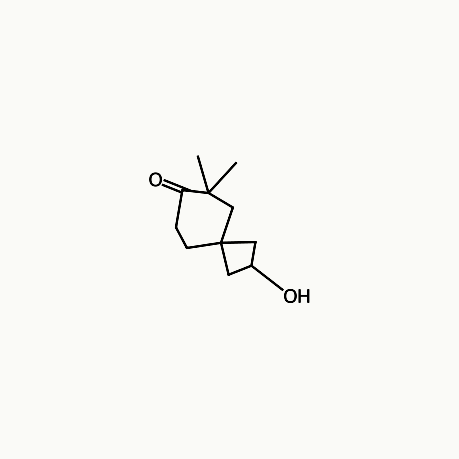 CC1(C)CC2(CCC1=O)CC(O)C2